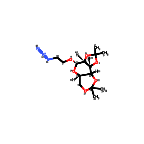 CC1(C)O[C@@H]2[C@H](O1)[C@@H](OCCN=[N+]=[N-])O[C@@H]1COC(C)(C)O[C@@H]21